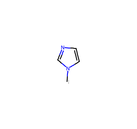 [C]n1ccnc1